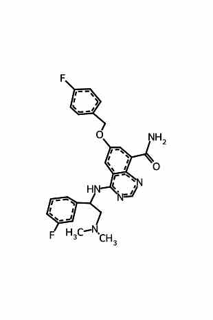 CN(C)CC(Nc1ncnc2c(C(N)=O)cc(OCc3ccc(F)cc3)cc12)c1cccc(F)c1